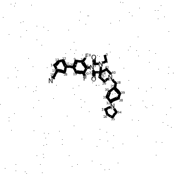 CCN1C(=O)N(c2c(F)cc(-c3cccc(C#N)c3)cc2F)C(=O)C12CCN(Cc1ccc(N3CCCC3)cc1)CC2